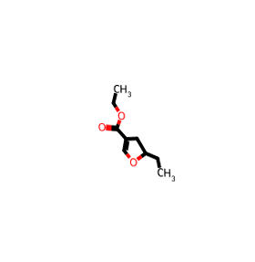 CCOC(=O)C1=COC(CC)C1